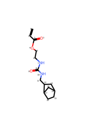 C=CC(=O)OCCNC(=O)NCC1CC2CCC1C2